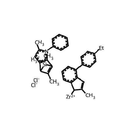 CC1=C2c3c(cc(C)n3-c3ccccc3)C1[Si]2(C)C.CCc1ccc(-c2cccc3c2C=C(C)[CH]3[Zr+2])cc1.[Cl-].[Cl-]